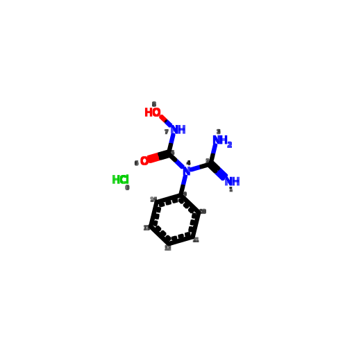 Cl.N=C(N)N(C(=O)NO)c1ccccc1